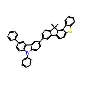 CC1(C)c2ccc(-c3ccc4c(c3)c3cc(-c5ccccc5)ccc3n4-c3ccccc3)cc2-c2ccc3sc4ccccc4c3c21